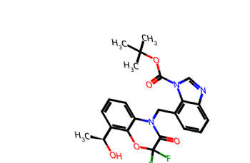 C[C@H](O)c1cccc2c1OC(F)(F)C(=O)N2Cc1cccc2ncn(C(=O)OC(C)(C)C)c12